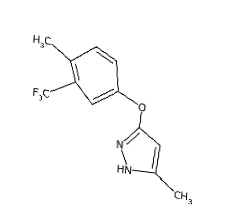 Cc1cc(Oc2ccc(C)c(C(F)(F)F)c2)n[nH]1